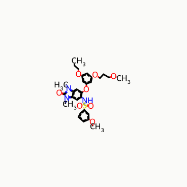 CCCOc1cc(OCCCOC)cc(Oc2cc3c(cc2NS(=O)(=O)c2cccc(OC)c2)n(C)c(=O)n3C)c1